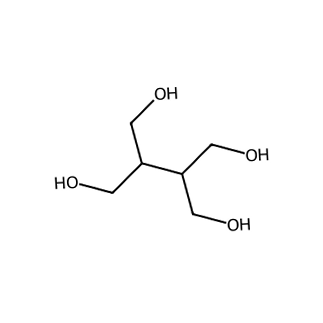 OCC(CO)C(CO)CO